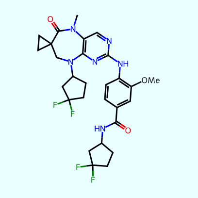 COc1cc(C(=O)NC2CCC(F)(F)C2)ccc1Nc1ncc2c(n1)N(C1CCC(F)(F)C1)CC1(CC1)C(=O)N2C